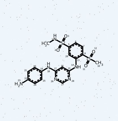 CNS(=O)(=O)c1ccc(S(C)(=O)=O)c(Nc2cc(Nc3ccc(N)cc3)ncn2)c1